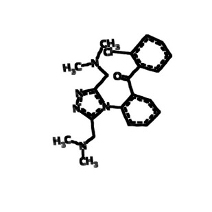 CN(C)Cc1nnc(CN(C)C)n1-c1ccccc1C(=O)c1ccccc1Cl